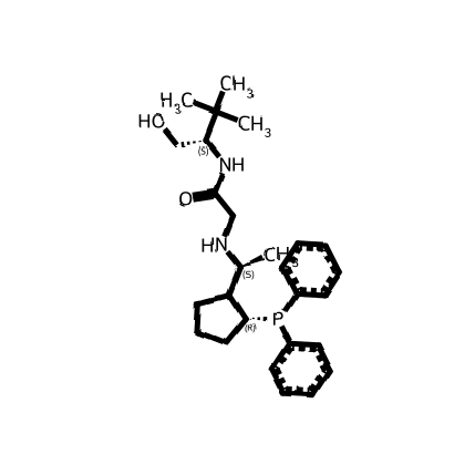 C[C@H](NCC(=O)N[C@H](CO)C(C)(C)C)C1CCC[C@H]1P(c1ccccc1)c1ccccc1